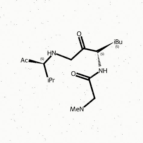 CC[C@H](C)[C@H](NC(=O)CNC)C(=O)CN[C@H](C(C)=O)C(C)C